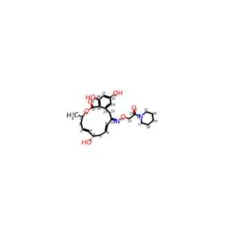 C[C@@H]1C/C=C/[C@@H](O)C/C=C/C(=N/OCC(=O)N2CCCCC2)Cc2cc(O)cc(O)c2C(=O)O1